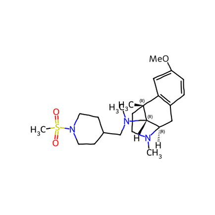 COc1ccc2c(c1)[C@@]1(C)CCN(C)[C@H](C2)[C@@H]1N(C)CC1CCN(S(C)(=O)=O)CC1